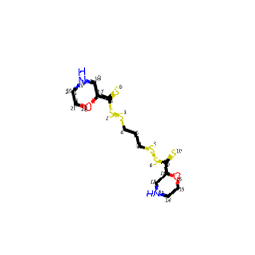 S=C(SSCCCSSC(=S)C1CNCCO1)C1CNCCO1